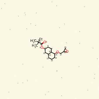 CCC(C)(C)C(=O)OC1CCC2C(CCCC2OCC2CO2)C1